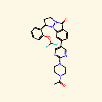 CC(=O)N1CCN(c2ncc(-c3ccc4c(=O)n5n(c4c3)C(c3ccccc3OC(F)F)CC5)cn2)CC1